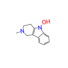 CN1CCc2c(c3ccccc3n2O)C1